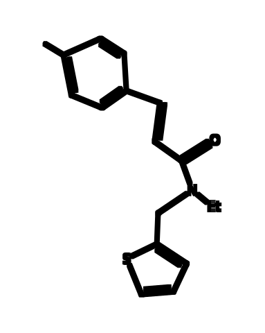 CCN(Cc1cccs1)C(=O)C=Cc1ccc(C)cc1